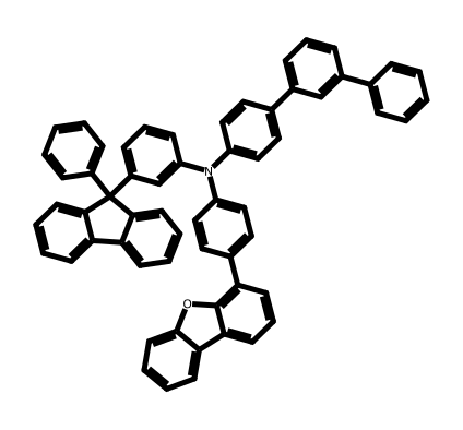 c1ccc(-c2cccc(-c3ccc(N(c4ccc(-c5cccc6c5oc5ccccc56)cc4)c4cccc(C5(c6ccccc6)c6ccccc6-c6ccccc65)c4)cc3)c2)cc1